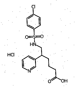 Cl.O=C(O)CCCC(CNS(=O)(=O)c1ccc(Cl)cc1)c1cccnc1